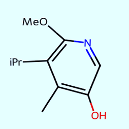 COc1ncc(O)c(C)c1C(C)C